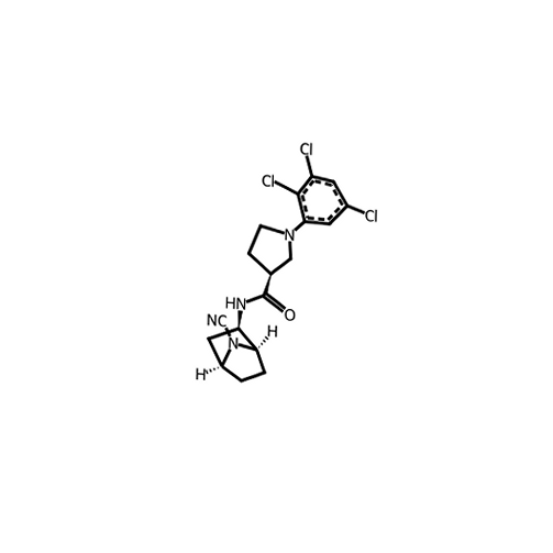 N#CN1[C@H]2CC[C@@H]1[C@H](NC(=O)[C@H]1CCN(c3cc(Cl)cc(Cl)c3Cl)C1)C2